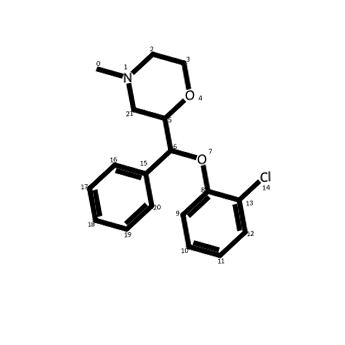 CN1CCOC(C(Oc2ccccc2Cl)c2ccccc2)C1